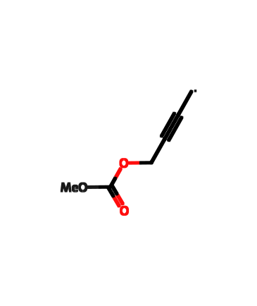 [CH2]C#CCOC(=O)OC